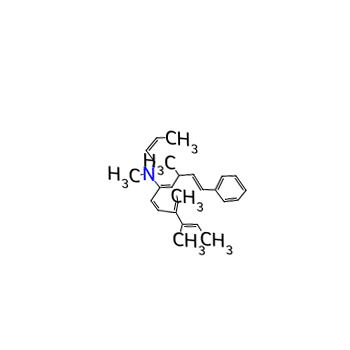 C/C=C\CN(C)C(/C=C\C(=C/C)C(\C)=C\C)=C\C(C)/C=C/c1ccccc1